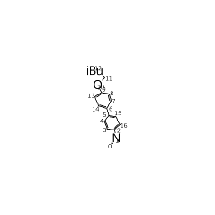 C=Nc1ccc(-c2ccc(OCC(C)CC)cc2)cc1